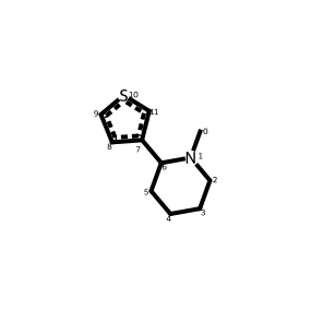 CN1CCCCC1c1ccsc1